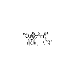 COc1cc(C(=O)NC[C@](O)(c2cc3c(c(-c4ccc(F)cc4)n2)OC[C@]3(C)C(N)=O)C(F)(F)F)ccc1OCC(C)(C)O